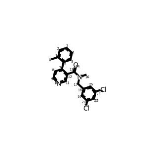 Cc1ccccc1-c1ccncc1C(=O)N(C)Cc1cc(Cl)cc(Cl)c1